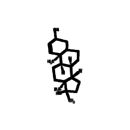 CC1(O)CC[C@H]2[C@@H]3CCC4CC(O)C=C[C@]4(C)[C@@H]3CC[C@@]21C